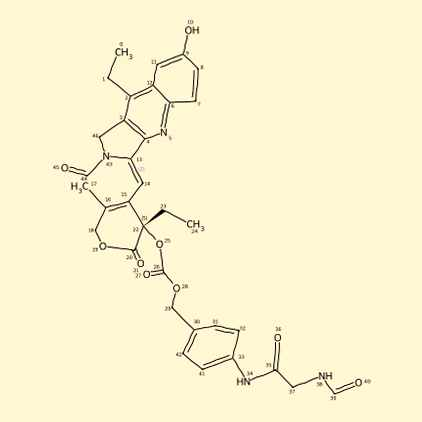 CCc1c2c(nc3ccc(O)cc13)/C(=C/C1=C(C)COC(=O)[C@@]1(CC)OC(=O)OCc1ccc(NC(=O)CNC=O)cc1)N(C=O)C2